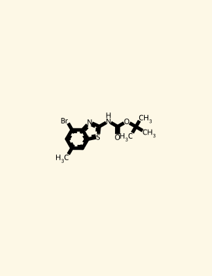 Cc1cc(Br)c2nc(NC(=O)OC(C)(C)C)sc2c1